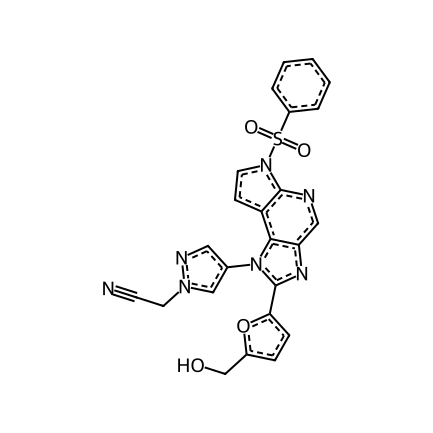 N#CCn1cc(-n2c(-c3ccc(CO)o3)nc3cnc4c(ccn4S(=O)(=O)c4ccccc4)c32)cn1